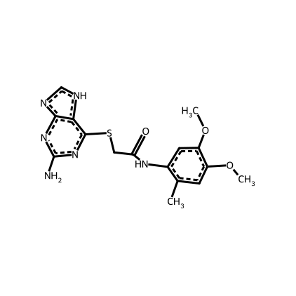 COc1cc(C)c(NC(=O)CSc2nc(N)nc3nc[nH]c23)cc1OC